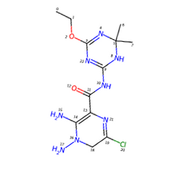 CCOC1=NC(C)(C)NC(NC(=O)C2=C(N)N(N)CC(Cl)=N2)=N1